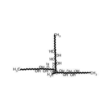 C[CH]C[Si](OCCC(O)CCC(O)CCC(O)CCC(O)CCC(O)CCCCCCCCCCCCC)(OCCC(O)CCC(O)CCC(O)CCC(O)CCC(O)CCCCCCCCCCCCC)OCCC(O)CCC(O)CCC(O)CCC(O)CCC(O)CCCCCCCCCCCCC